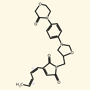 C/C=C\C=C/C1=CC(=O)N(CC2CN(c3ccc(N4CCOCC4=O)cc3)CO2)C1=O